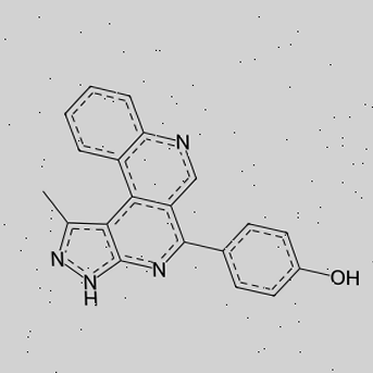 Cc1n[nH]c2nc(-c3ccc(O)cc3)c3cnc4ccccc4c3c12